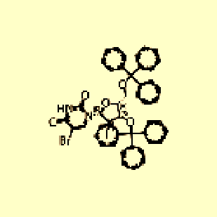 O=c1[nH]c(=O)n([C@@H]2O[C@H](COC(c3ccccc3)(c3ccccc3)c3ccccc3)[C@@H](OC(c3ccccc3)(c3ccccc3)c3ccccc3)[C@H]2I)cc1Br